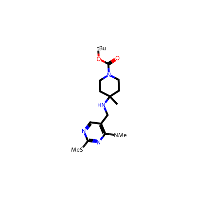 CNc1nc(SC)ncc1CNC1(C)CCN(C(=O)OC(C)(C)C)CC1